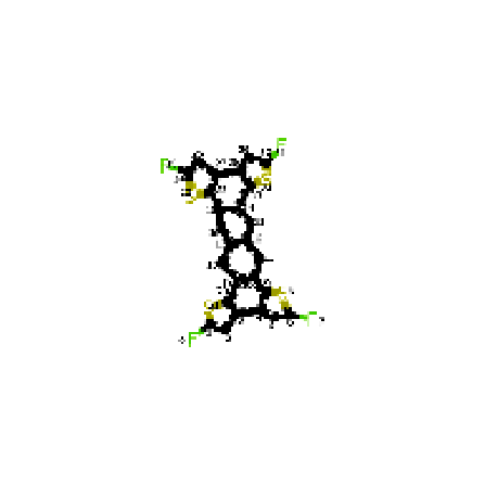 Fc1cc2c3cc(F)sc3c3cc4cc5c(cc4cc3c2s1)c1sc(F)cc1c1cc(F)sc15